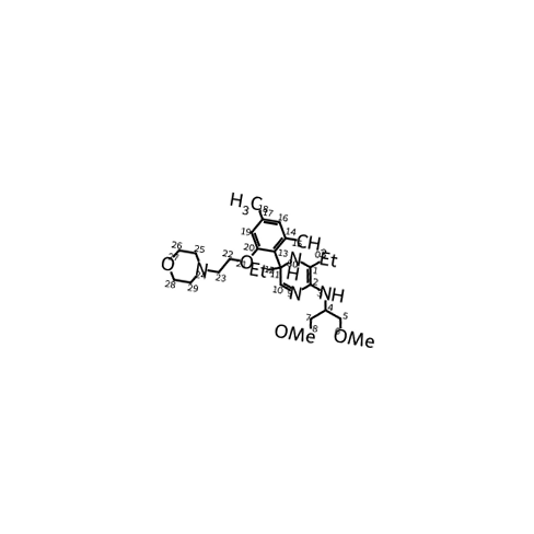 CCC1=C(NC(COC)COC)N=CC(CC)(c2c(C)cc(C)cc2OCCN2CCOCC2)N1